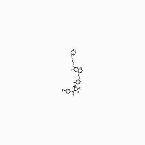 Cc1cc(CCc2ccnc3cc(CCCCCN4CCOCC4)c(I)cc23)ccc1NC(=O)C1(C(=O)Nc2ccc(F)cc2)CC1